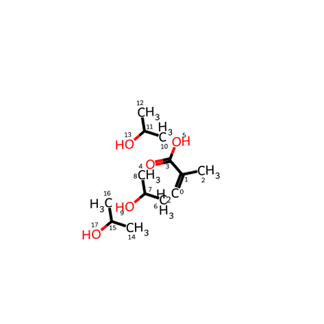 C=C(C)C(=O)O.CC(C)O.CC(C)O.CC(C)O